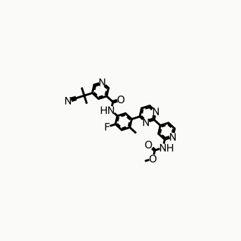 COC(=O)Nc1cc(-c2nccc(-c3cc(NC(=O)c4cncc(C(C)(C)C#N)c4)c(F)cc3C)n2)ccn1